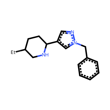 CCC1CCC(c2cnn(Cc3ccccc3)c2)NC1